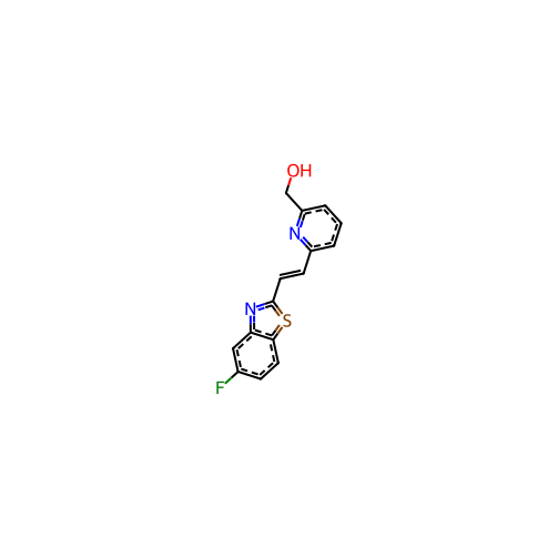 OCc1cccc(/C=C/c2nc3cc(F)ccc3s2)n1